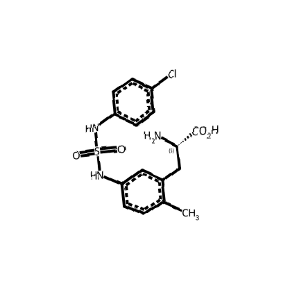 Cc1ccc(NS(=O)(=O)Nc2ccc(Cl)cc2)cc1C[C@H](N)C(=O)O